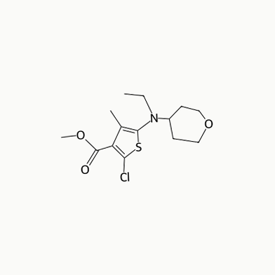 CCN(c1sc(Cl)c(C(=O)OC)c1C)C1CCOCC1